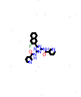 O=C(Nc1nc(NC(=O)c2cccnc2)nc(-c2cc3ccccc3cc2F)n1)c1cccnc1